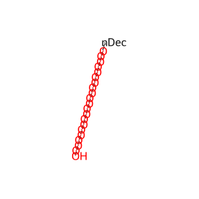 CCCCCCCCCCCCCCOCCOCCOCCOCCOCCOCCOCCOCCOCCOCCOCCOCCOCCOCCOCCOCCOCCOCCOCCOCCO